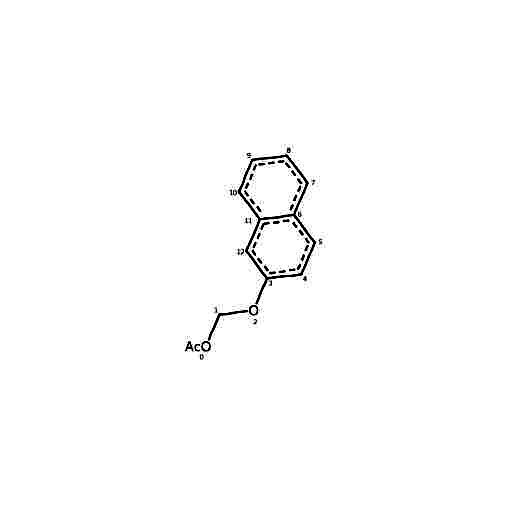 CC(=O)OCOc1ccc2ccccc2c1